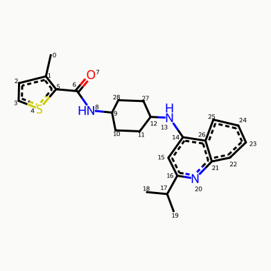 Cc1ccsc1C(=O)NC1CCC(Nc2cc(C(C)C)nc3ccccc23)CC1